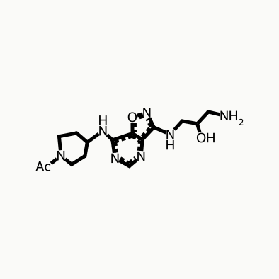 CC(=O)N1CCC(Nc2ncnc3c(NCC(O)CN)noc23)CC1